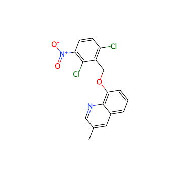 Cc1cnc2c(OCc3c(Cl)ccc([N+](=O)[O-])c3Cl)cccc2c1